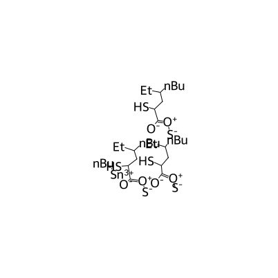 CCCCC(CC)CC(S)C([O-])=[O+][S-].CCCCC(CC)CC(S)C([O-])=[O+][S-].CCCCC(CC)CC(S)C([O-])=[O+][S-].CCC[CH2][Sn+3]